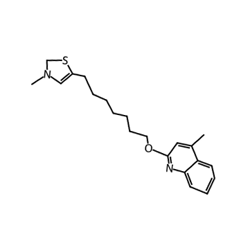 Cc1cc(OCCCCCCCC2=CN(C)CS2)nc2ccccc12